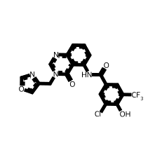 O=C(Nc1cccc2ncn(Cc3cocn3)c(=O)c12)c1cc(Cl)c(O)c(C(F)(F)F)c1